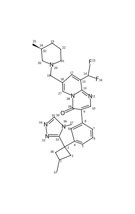 CC1CC(c2cccc(-c3cnc4c(C(F)F)cc(CN5CCC[C@H](C)C5)cn4c3=O)c2)(c2nncn2C)C1